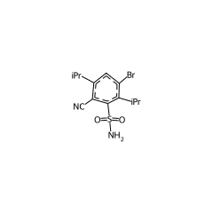 CC(C)c1cc(Br)c(C(C)C)c(S(N)(=O)=O)c1C#N